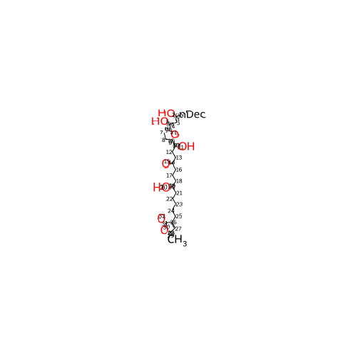 CCCCCCCCCC[C@H](O)C[C@@H](O)[C@H]1CC[C@H]([C@H](O)CCC(=O)CCC[C@H](O)CCCCCC2=C[C@H](C)OC2=O)O1